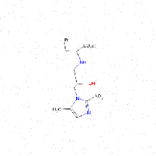 CCOC(=O)C(CC(C)C)NCC(O)Cn1c(C)cnc1[N+](=O)[O-]